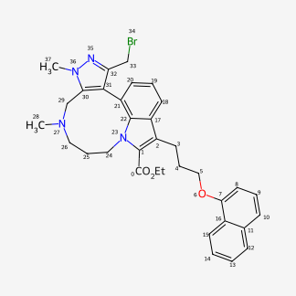 CCOC(=O)c1c(CCCOc2cccc3ccccc23)c2cccc3c2n1CCCN(C)Cc1c-3c(CBr)nn1C